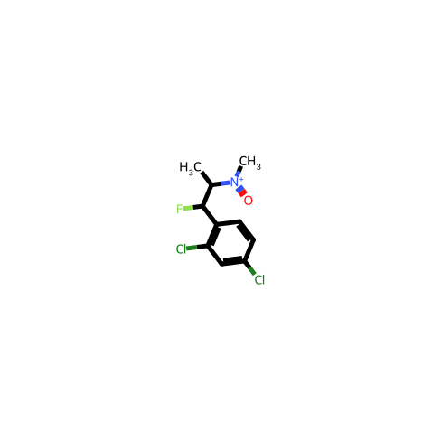 CC(C(F)c1ccc(Cl)cc1Cl)[N+](C)=O